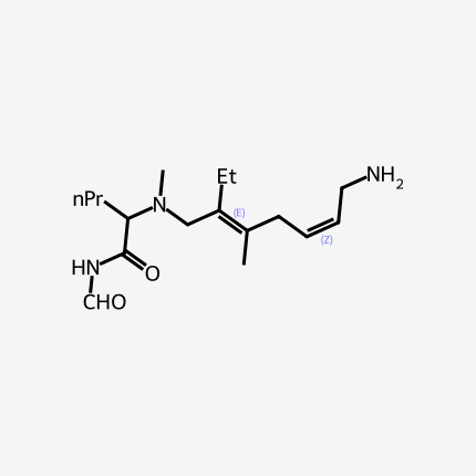 CCCC(C(=O)NC=O)N(C)C/C(CC)=C(\C)C/C=C\CN